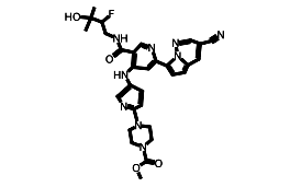 COC(=O)N1CCN(c2ccc(Nc3cc(-c4ccc5cc(C#N)cnn45)ncc3C(=O)NCC(F)C(C)(C)O)cn2)CC1